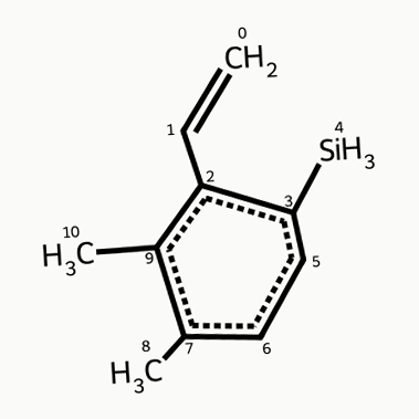 C=Cc1c([SiH3])ccc(C)c1C